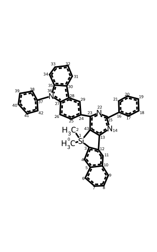 C[Si]1(C)c2cc3ccccc3cc2-c2nc(-c3ccccc3)nc(-c3ccc4c(c3)c3ccccc3n4-c3ccccc3)c21